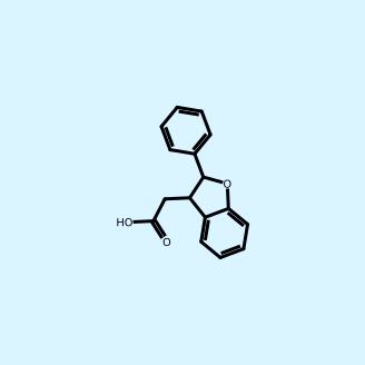 O=C(O)CC1c2ccccc2OC1c1ccccc1